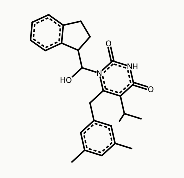 Cc1cc(C)cc(Cc2c(C(C)C)c(=O)[nH]c(=O)n2C(O)C2CCc3ccccc32)c1